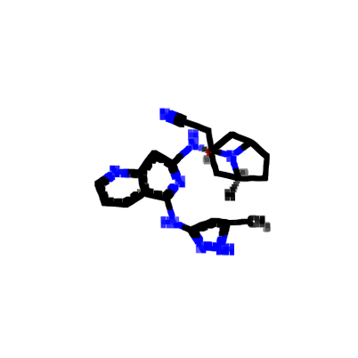 Cc1cc(Nc2nc(N[C@@H]3CC4CC[C@@H](C3)N4CCC#N)cc3ncccc23)n[nH]1